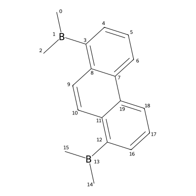 CB(C)c1cccc2c1ccc1c(B(C)C)cccc12